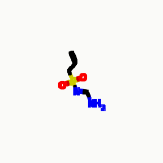 C=CCS(=O)(=O)N=CN